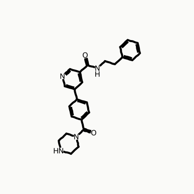 O=C(NCCc1ccccc1)c1cncc(-c2ccc(C(=O)N3CCNCC3)cc2)c1